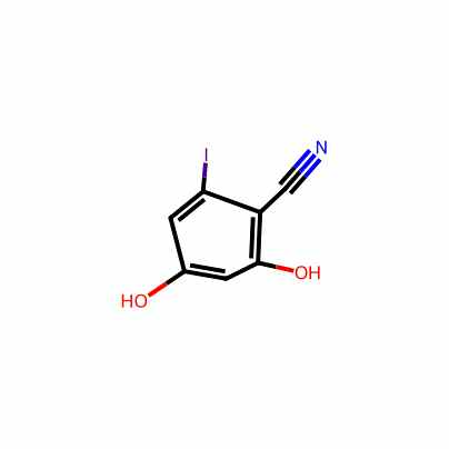 N#Cc1c(O)cc(O)cc1I